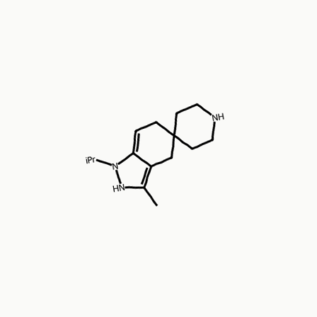 CC1=C2CC3(CC=C2N(C(C)C)N1)CCNCC3